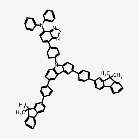 CC1(C)c2ccccc2-c2ccc(-c3ccc(-c4ccc5c(c4)c4cc(-c6ccc(-c7ccc8c(c7)C(C)(C)c7ccccc7-8)cc6)ccc4n5C4=CC=C(c5ccc(N(c6ccccc6)c6ccccc6)c6nsnc56)CC4)cc3)cc21